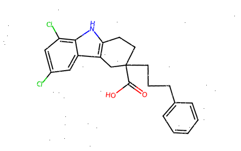 O=C(O)C1(CCCc2ccccc2)CCc2[nH]c3c(Cl)cc(Cl)cc3c2C1